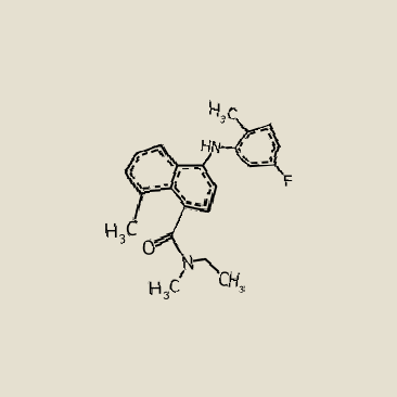 CCN(C)C(=O)c1ccc(Nc2cc(F)ccc2C)c2cccc(C)c12